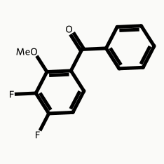 COc1c(C(=O)c2ccccc2)ccc(F)c1F